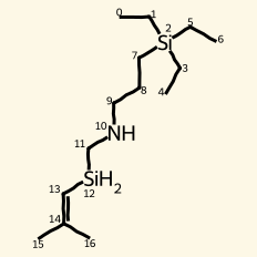 CC[Si](CC)(CC)CCCNC[SiH2]C=C(C)C